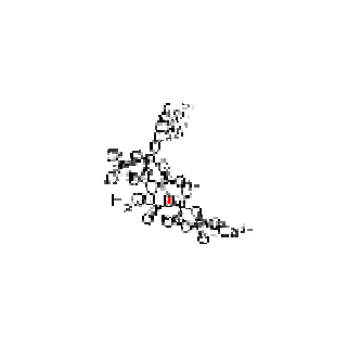 O.O=P([O-])([O-])OP(=O)([O-])OP(=O)([O-])[O-].O=P([O-])([O-])OP(=O)([O-])OP(=O)([O-])[O-].[Ca+2].[Ca+2].[Ca+2].[Ca+2].[Ca+2]